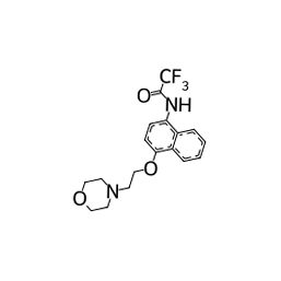 O=C(Nc1ccc(OCCN2CCOCC2)c2ccccc12)C(F)(F)F